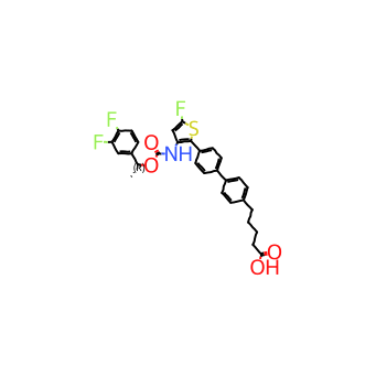 C[C@@H](OC(=O)Nc1cc(F)sc1-c1ccc(-c2ccc(CCCCC(=O)O)cc2)cc1)c1ccc(F)c(F)c1